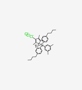 CCCCc1ccc([Si](c2ccc(CCCC)cc2)(c2cc(C)cc(C)c2)[C]2([Ti+3])C(C)=C(C)C(C)=C2C)cc1.[Cl-].[Cl-].[Cl-]